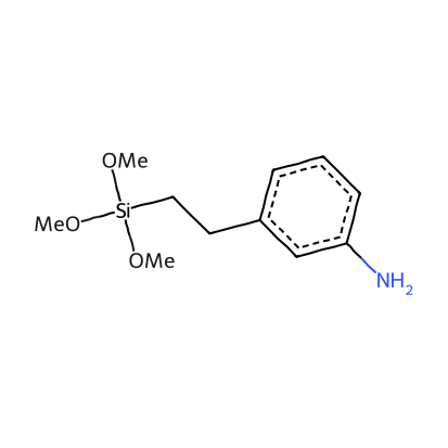 CO[Si](CCc1cccc(N)c1)(OC)OC